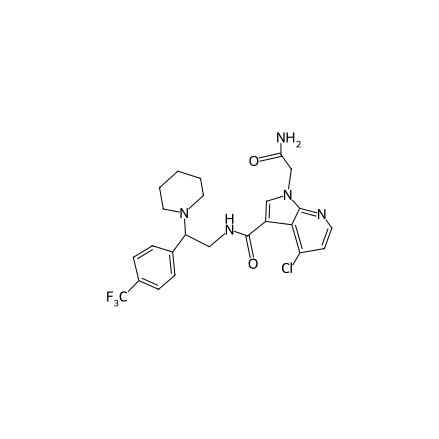 NC(=O)Cn1cc(C(=O)NCC(c2ccc(C(F)(F)F)cc2)N2CCCCC2)c2c(Cl)ccnc21